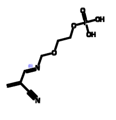 C=C(C#N)/C=N/COCCOP(=O)(O)O